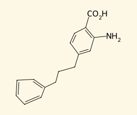 Nc1cc(CCCc2ccccc2)ccc1C(=O)O